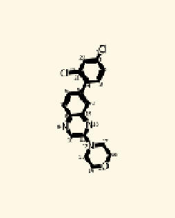 Clc1ccc(-c2ccc3ncc(N4CCOCC4)nc3c2)c(Cl)c1